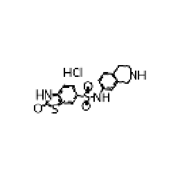 Cl.O=c1[nH]c2ccc(S(=O)(=O)Nc3ccc4c(c3)CNCC4)cc2s1